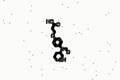 O=CN(c1ccc(OCCC(=O)O)cc1)[C@@H]1CCCNC1